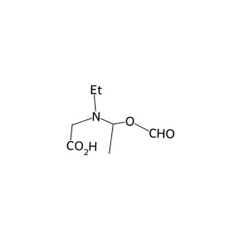 CCN(CC(=O)O)C(C)OC=O